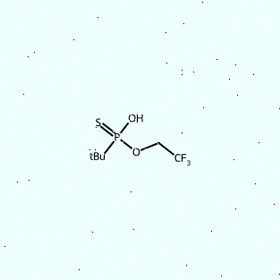 CC(C)(C)P(O)(=S)OCC(F)(F)F